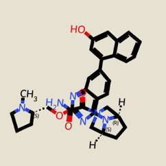 CN1CCC[C@H]1COc1nc(N2[C@@H]3CC[C@H]2CN(C(=O)C(N)=O)C3)c2ccc(-c3cc(O)cc4ccccc34)cc2n1